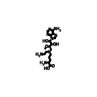 CO[C@H](CN(CCN)CCC[C@H](N)C(=O)O)[C@@H](O)[C@@H](O)n1cnc2c(N)ncnc21